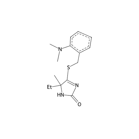 CCC1(C)NC(=O)N=C1SCc1ccccc1N(C)C